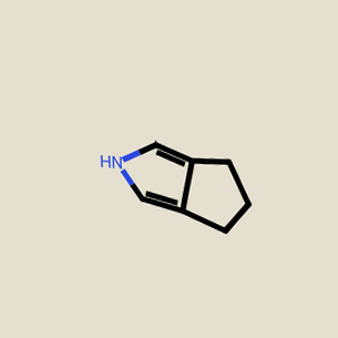 [c]1[nH]cc2c1CCC2